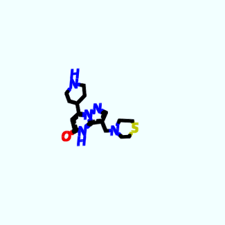 O=c1cc(C2CCNCC2)n2ncc(CN3CCSCC3)c2[nH]1